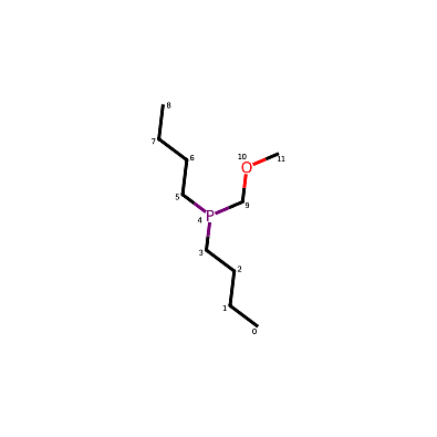 CCCCP(CCCC)COC